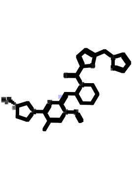 C=NN1C=C(C)C(N2CC[C@H](N)C2)=N/C1=C/C1CCCCN1C(=O)c1ccc(Cn2cccn2)o1